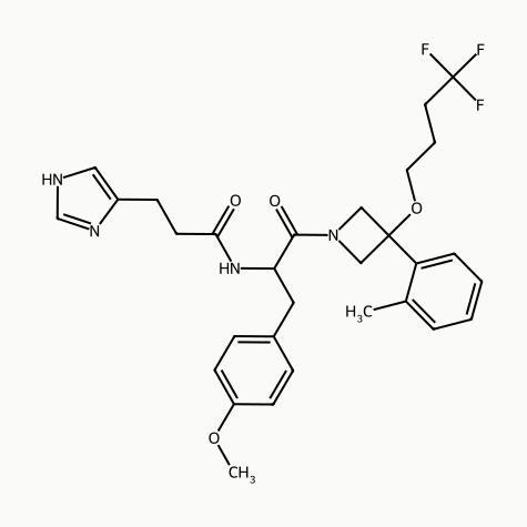 COc1ccc(CC(NC(=O)CCc2c[nH]cn2)C(=O)N2CC(OCCCC(F)(F)F)(c3ccccc3C)C2)cc1